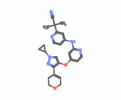 CC(C)(C#N)c1cc(Nc2cc(Oc3cn(C4CC4)nc3C3=CCOCC3)ccn2)ccn1